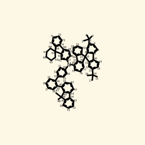 CC(C)(C)c1ccc2c(c1)C1(c3cc(C(C)(C)C)ccc3-2)c2ccccc2-c2c(N(c3ccc(-c4ccccc4-c4cccc5c4C(C)(C)c4ccccc4-5)cc3)c3ccc4c(c3)C3(CCCCC3)c3ccccc3-4)cccc21